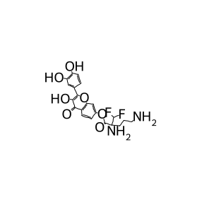 NCCCC(N)(C(=O)Oc1ccc2c(=O)c(O)c(-c3ccc(O)c(O)c3)oc2c1)C(F)F